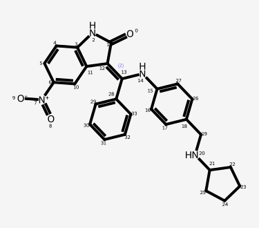 O=C1Nc2ccc([N+](=O)[O-])cc2/C1=C(/Nc1ccc(CNC2CCCC2)cc1)c1ccccc1